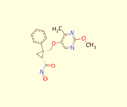 COc1ncc(OC[C@@]2(c3ccccc3)C[C@H]2C(=O)N=O)c(C)n1